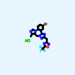 Cc1ncn2c1Cn1nc(Cc3noc(C(F)(F)F)n3)nc1-c1cc(Br)ccc1-2.Cl